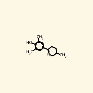 Cc1cc(C2=NCC(C)CC2)cc(C)c1O